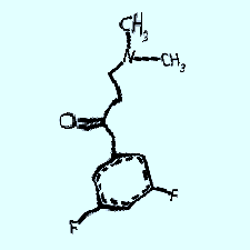 CN(C)CCC(=O)c1cc(F)cc(F)c1